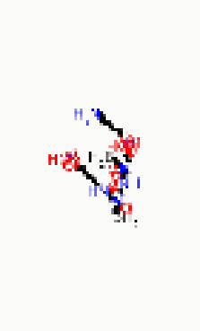 BCC(=O)N(CCNC(=O)CN(CCOP(=O)(O)OCCCCCCN)C(=O)CB)CC(=O)NCCCCCCOP(=O)(O)O